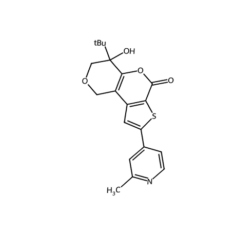 Cc1cc(-c2cc3c4c(oc(=O)c3s2)C(O)(C(C)(C)C)COC4)ccn1